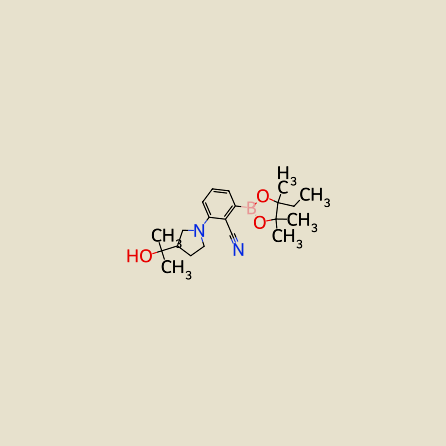 CCC1(C)OB(c2cccc(N3CCC(C(C)(C)O)C3)c2C#N)OC1(C)C